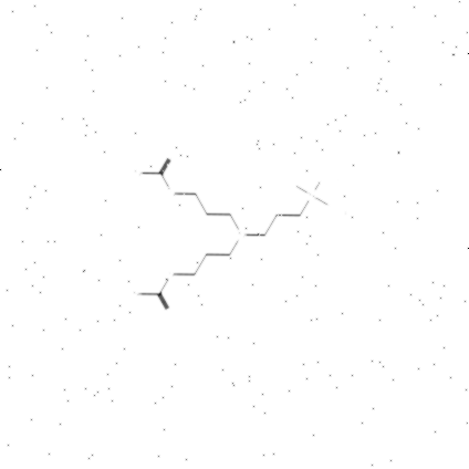 C[N+](C)(C)CCCN(CCCNC(N)=O)CCCNC(N)=O